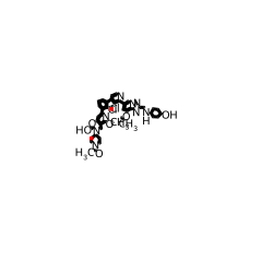 CCOc1cc(-c2nccc(-c3cccc(-c4ccc(CN(C(=O)O)C5CCN(C(C)=O)CC5)c(OC)n4)c3Cl)c2Cl)cn2nc(CN[C@H]3CC[C@H](O)CC3)nc12